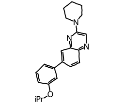 CC(C)Oc1cccc(-c2ccc3ncc(N4CCCCC4)nc3c2)c1